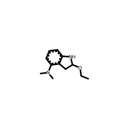 CCOC1Cc2c(cccc2N(C)C)N1